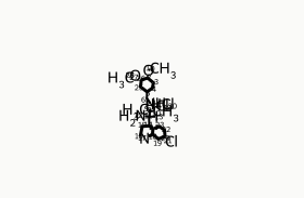 COc1ccc(CNC(C)(C)C(N)(I)c2ccnc3cc(Cl)ccc23)cc1OC.Cl.Cl